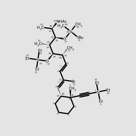 CC[Si](C#C[C@]1(C)CCCC[C@@H]1/C=C(Br)/C=C/[C@@H](C)[C@@H](O[Si](CC)(CC)CC)[C@H](C)[C@H](O[Si](C)(C)C(C)(C)C)[C@@H](C)NC(C)=O)(CC)CC